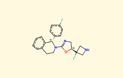 Fc1ccc([C@H]2c3ccccc3CCN2C2=NC[C@@H](C3(F)CNC3)O2)cc1